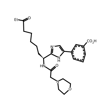 CCC(=O)CCCCC[C@H](NC(=O)CN1CCOCC1)C1=[N+]C=C(c2cccc(C(=O)O)c2)N1